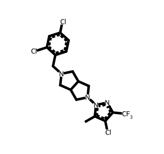 Cc1c(Cl)c(C(F)(F)F)nn1N1CC2CN(Cc3ccc(Cl)cc3Cl)CC2C1